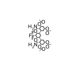 CC(=O)Oc1cc(OC(C)=O)c(C(N)=O)c(-c2cc(-c3cc(OC(C)=O)cc(OC(C)=O)c3C(N)=O)cc(C(F)(F)F)c2)c1